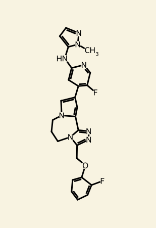 Cn1nccc1Nc1cc(-c2cc3n(c2)CCCn2c(COc4ccccc4F)nnc2-3)c(F)cn1